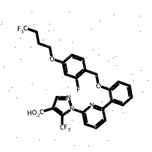 O=C(O)c1cnn(-c2cccc(-c3ccccc3OCc3ccc(OCCCC(F)(F)F)cc3F)n2)c1C(F)(F)F